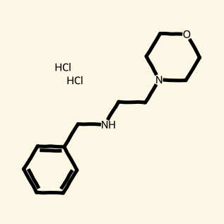 Cl.Cl.c1ccc(CNCCN2CCOCC2)cc1